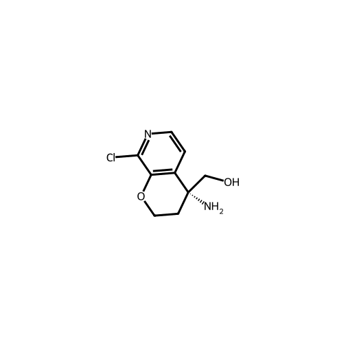 N[C@]1(CO)CCOc2c1ccnc2Cl